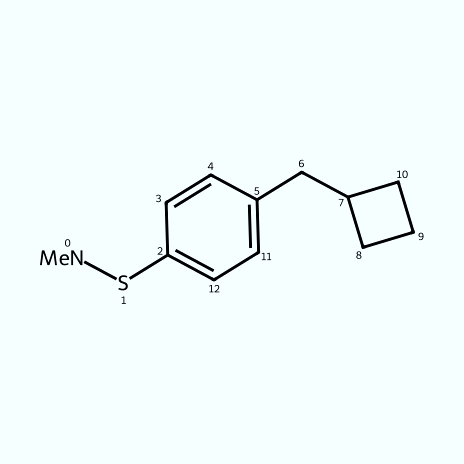 CNSc1ccc(CC2CCC2)cc1